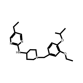 CCOc1cc(CN2CCC(Nc3ncc(CC)cn3)CC2)ccc1OC(C)C